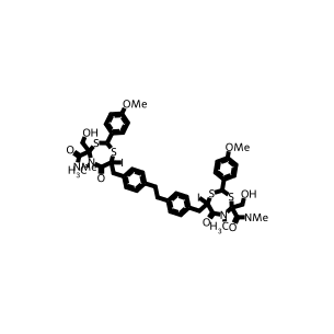 CNC(=O)C1(CO)SC(c2ccc(OC)cc2)SC(I)(Cc2ccc(CCc3ccc(CC4(I)SC(c5ccc(OC)cc5)SC(CO)(C(=O)NC)N(C)C4=O)cc3)cc2)C(=O)N1C